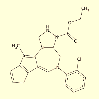 CCOC(=O)N1NCN2C3=S(C)C4=C(CC=C4)C3=CN(c3ccccc3Cl)CC21